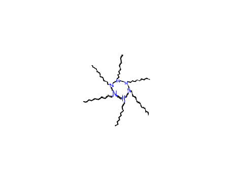 CCCCCCCCCCN1CCN(CCCCCCCCCC)CCN(CCCCCCCCCC)CCN(CCCCCCCCCC)CCN(CCCCCCCCCC)CCN(CCCCCCCCCC)CC1